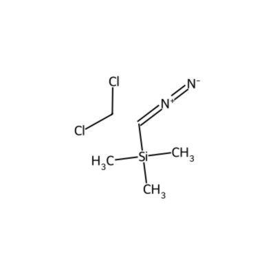 C[Si](C)(C)C=[N+]=[N-].ClCCl